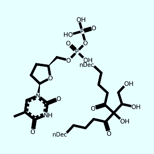 CCCCCCCCCCCCCC(=O)C(O)(C(=O)CCCCCCCCCCCCC)C(O)CO.Cc1cn([C@H]2CC[C@@H](COP(=O)(O)OP(=O)(O)O)O2)c(=O)[nH]c1=O